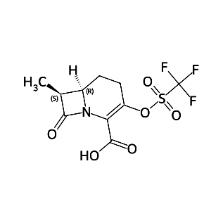 C[C@@H]1C(=O)N2C(C(=O)O)=C(OS(=O)(=O)C(F)(F)F)CC[C@H]12